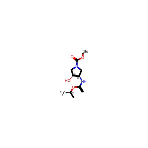 C=C(N[C@@H]1CN(C(=O)OC(C)(C)C)C[C@H]1O)O[C@@H](C)C(F)(F)F